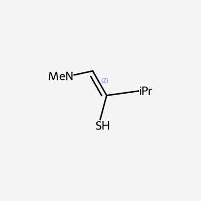 CN/C=C(\S)C(C)C